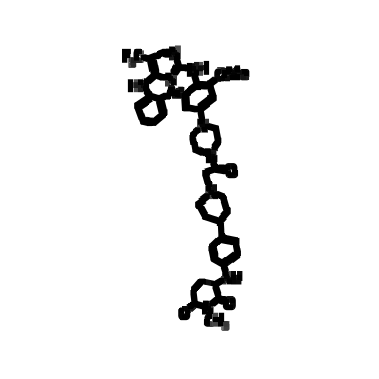 COc1cc(N2CCN(C(=O)CN3CCC(c4ccc(NC5CCC(=O)N(C)C5=O)cc4)CC3)CC2)ccc1Nc1ncc(C(F)(F)F)c(Nc2ccccc2C(C)=O)n1